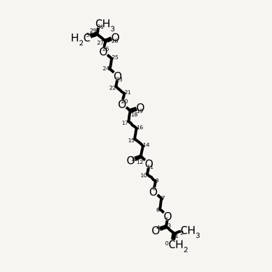 C=C(C)C(=O)OCCOCCOC(=O)CCCCC(=O)OCCOCCOC(=O)C(=C)C